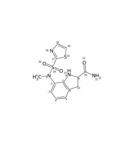 CN(c1cccc2c1NC(C(N)=O)C2)S(=O)(=O)c1nccs1